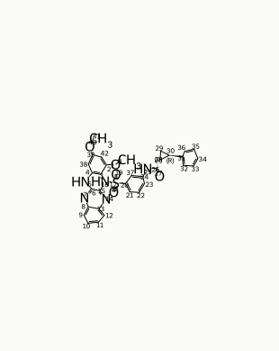 COc1cc(Nc2nc3ccccc3nc2NS(=O)(=O)c2cccc(NC(=O)[C@@H]3C[C@H]3c3ccccc3)c2)cc(OC)c1